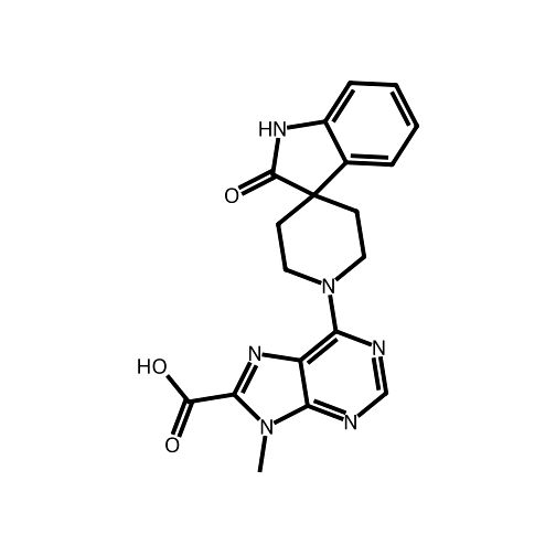 Cn1c(C(=O)O)nc2c(N3CCC4(CC3)C(=O)Nc3ccccc34)ncnc21